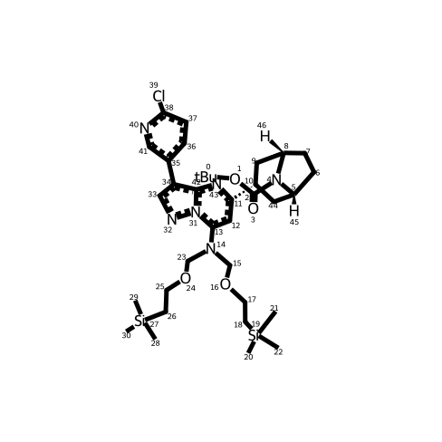 CC(C)(C)OC(=O)N1[C@@H]2CC[C@H]1C[C@@H](c1cc(N(COCC[Si](C)(C)C)COCC[Si](C)(C)C)n3ncc(-c4ccc(Cl)nc4)c3n1)C2